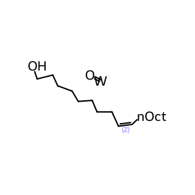 CCCCCCCC/C=C\CCCCCCCCO.[O]=[W]